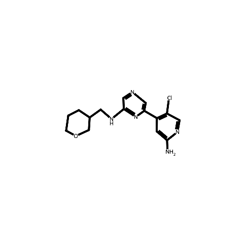 Nc1cc(-c2cncc(NCC3CCCOC3)n2)c(Cl)cn1